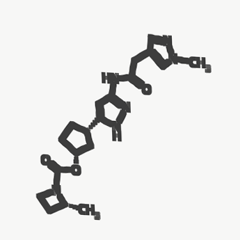 C[C@@H]1CCN1C(=O)O[C@@H]1CC[C@H](c2cc(NC(=O)Cc3cnn(C)c3)n[nH]2)C1